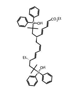 CCOC(=O)/C=C/C=C/[C@@H](C/C=C\C=C\[C@@H](CC)CC(C)(C)[Si](O)(c1ccccc1)c1ccccc1)CC(C)(C)[Si](O)(c1ccccc1)c1ccccc1